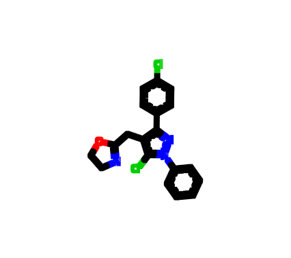 Clc1ccc(-c2nn(-c3ccccc3)c(Cl)c2CC2=NCCO2)cc1